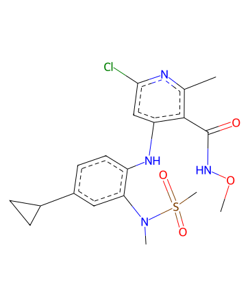 CONC(=O)c1c(Nc2ccc(C3CC3)cc2N(C)S(C)(=O)=O)cc(Cl)nc1C